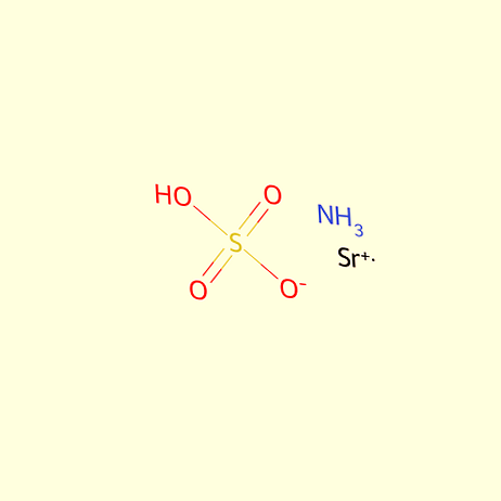 N.O=S(=O)([O-])O.[Sr+]